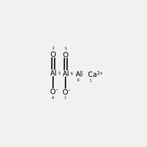 [Al].[Ca+2].[O]=[Al][O-].[O]=[Al][O-]